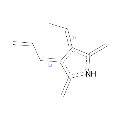 C=C/C=c1/c(=C)[nH]c(=C)/c1=C/C